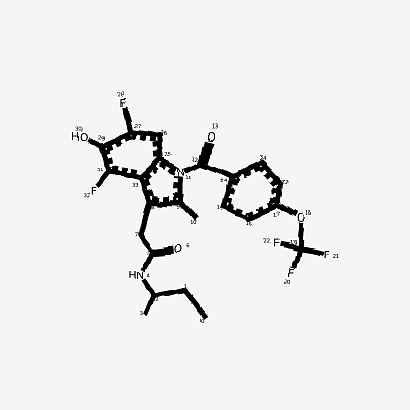 CCC(C)NC(=O)Cc1c(C)n(C(=O)c2ccc(OC(F)(F)F)cc2)c2cc(F)c(O)c(F)c12